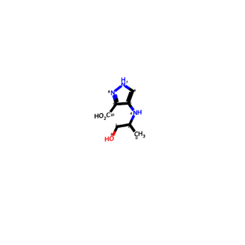 CC(CO)Nc1c[nH]nc1C(=O)O